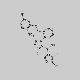 CCn1ncc(C(O)c2c(F)cnn2-c2ccc(F)cc2COc2cc(Br)cnc2[N+](=O)[O-])c1Br